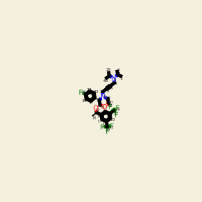 CC(C)N(CC#CCN1CCO[C@H](O[C@H](C)c2cc(C(F)(F)F)cc(C(F)(F)F)c2)[C@@H]1c1ccc(F)cc1)C(C)C